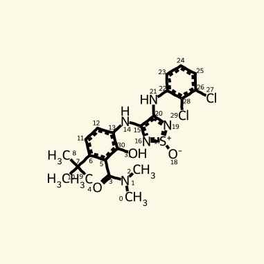 CN(C)C(=O)c1c(C(C)(C)C)ccc(Nc2n[s+]([O-])nc2Nc2cccc(Cl)c2Cl)c1O